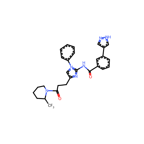 O=C(Nc1nc(CCC(=O)N2CCCCC2C(F)(F)F)cn1-c1ccccc1)c1cccc(-c2cn[nH]c2)c1